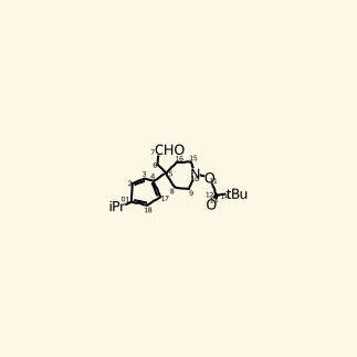 CC(C)c1ccc(C2(CC=O)CCN(OC(=O)C(C)(C)C)CC2)cc1